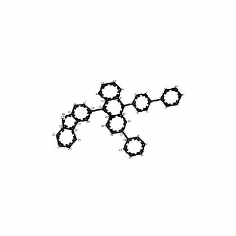 c1ccc(-c2ccc(-c3c4ccccc4c(-c4ccc5oc6ccccc6c5c4)c4ccc(-c5ccccc5)cc34)cc2)cc1